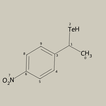 CC([TeH])c1ccc([N+](=O)[O-])cc1